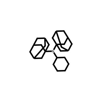 C1CC[CH]([Bi]([C]23CC4CC(CC(C4)C2)C3)[C]23CC4CC(CC(C4)C2)C3)CC1